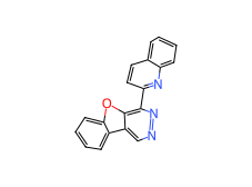 c1ccc2nc(-c3nncc4c3oc3ccccc34)ccc2c1